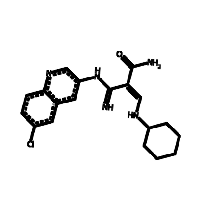 N=C(Nc1cnc2ccc(Cl)cc2c1)/C(=C\NC1CCCCC1)C(N)=O